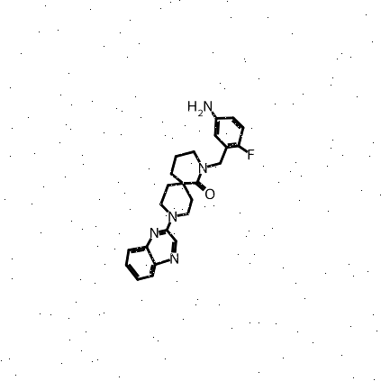 Nc1ccc(F)c(CN2CCCC3(CCN(c4cnc5ccccc5n4)CC3)C2=O)c1